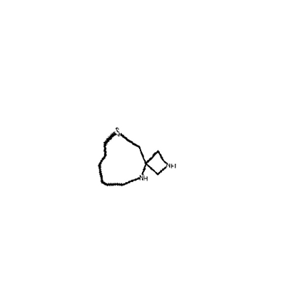 C1CCSCC2(CNC2)NC1